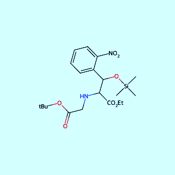 CCOC(=O)C(NCC(=O)OC(C)(C)C)C(O[Si](C)(C)C)c1ccccc1[N+](=O)[O-]